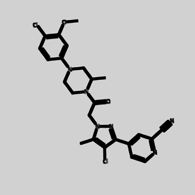 COc1cc(N2CCN(C(=O)Cn3nc(-c4ccnc(C#N)c4)c(Cl)c3C)C(C)C2)ccc1Cl